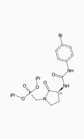 CC(C)OP(=O)(CN1CC[C@H](NC(=O)Nc2ccc(Br)cc2)C1=O)OC(C)C